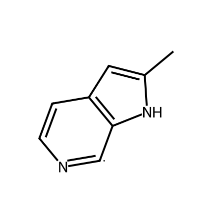 Cc1cc2ccn[c]c2[nH]1